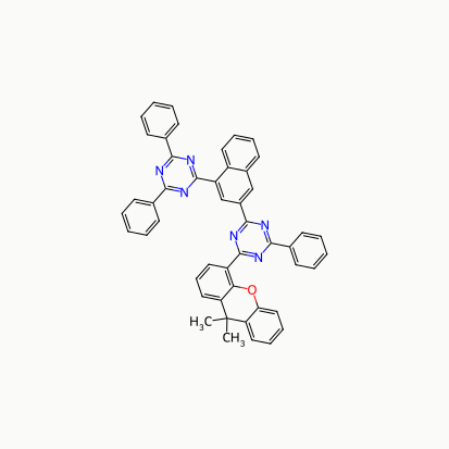 CC1(C)c2ccccc2Oc2c(-c3nc(-c4ccccc4)nc(-c4cc(-c5nc(-c6ccccc6)nc(-c6ccccc6)n5)c5ccccc5c4)n3)cccc21